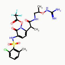 Cc1cccc(Cl)c1S(=O)(=O)Nc1ccc(C(C)C(=O)NCC(C)ONC(=N)N)n(OC(=O)C(F)(F)F)c1=O